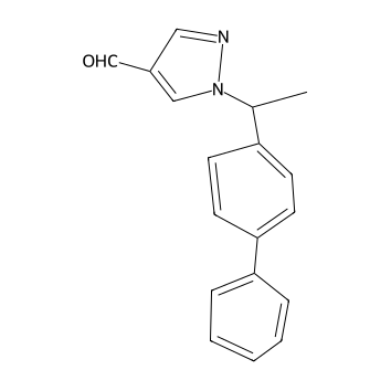 CC(c1ccc(-c2ccccc2)cc1)n1cc(C=O)cn1